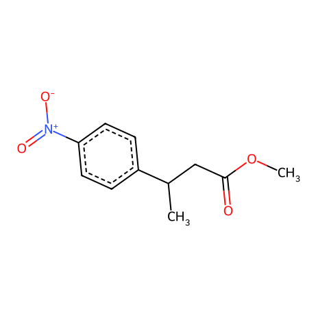 COC(=O)CC(C)c1ccc([N+](=O)[O-])cc1